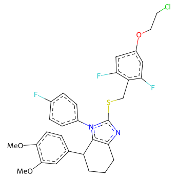 COc1ccc(C2CCCc3nc(SCc4c(F)cc(OCCCl)cc4F)n(-c4ccc(F)cc4)c32)cc1OC